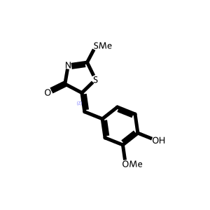 COc1cc(/C=C2\SC(SC)=NC2=O)ccc1O